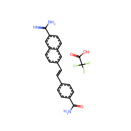 N=C(N)c1ccc2cc(/C=C/c3ccc(C(N)=O)cc3)ccc2c1.O=C(O)C(F)(F)F